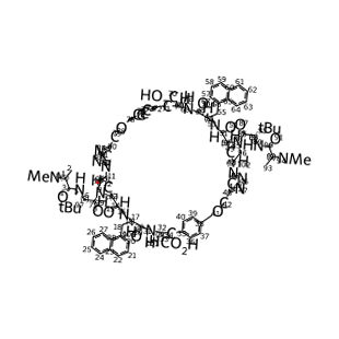 CN[C@@H](C)C(=O)N[C@H](C(=O)N1C[C@@H]2C[C@H]1C(=O)N[C@@H](Cc1cccc3ccccc13)C(=O)N[C@H](C(=O)O)Cc1ccc(cc1)OCc1cn(nn1)[C@H]1C[C@@H](C(=O)N[C@@H](Cc3cccc4ccccc34)C(=O)N[C@H](C(=O)O)Cc3ccc(cc3)OCc3cn2nn3)N(C(=O)[C@@H](NC(=O)[C@H](C)NC)C(C)(C)C)C1)C(C)(C)C